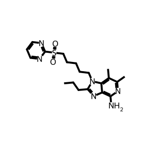 CCCc1nc2c(N)nc(C)c(C)c2n1CCCCCS(=O)(=O)c1ncccn1